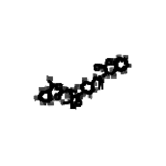 Cc1noc(-c2ccc(CNC(Cc3ccccc3)C(=O)O)cc2)c1NC(=O)O[C@H](C)c1ccccc1